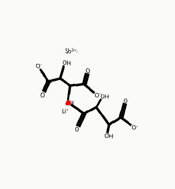 O=C([O-])C(O)C(O)C(=O)[O-].O=C([O-])C(O)C(O)C(=O)[O-].[Li+].[Sb+3]